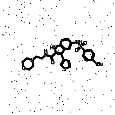 CC(C)(C)c1ccc(S(=O)(=O)Nc2ccc3[nH]c(C(=O)NCCN4CCOCC4)c(-c4ccsc4)c3c2)cc1